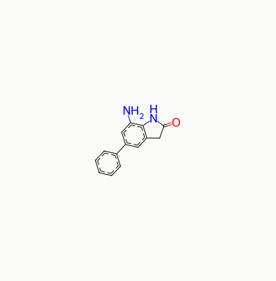 Nc1cc(-c2ccccc2)cc2c1NC(=O)C2